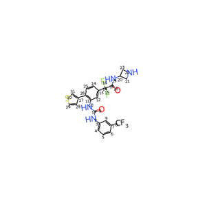 O=C(Nc1cccc(C(F)(F)F)c1)Nc1cc(C(F)(F)C(=O)NC2CNC2)ccc1-c1ccsc1